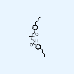 CCCCc1ccc(C(=O)CC(C)(C)CNC(=O)c2ccc(CCCC)cc2)cc1